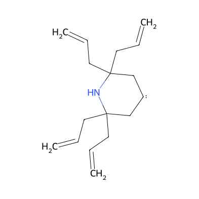 C=CCC1(CC=C)C[C]CC(CC=C)(CC=C)N1